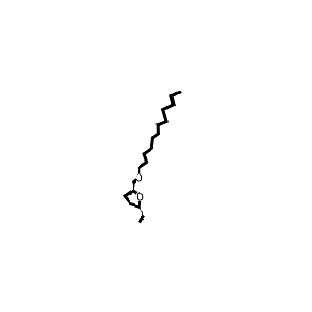 CCCCCCCCCCCCOC[C@@H]1CC[C@@H](CC)O1